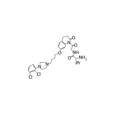 CC(C)C(N)C(=O)NCC(=O)N1C(=O)CCc2ccc(OCCCCN3CCN(c4cccc(Cl)c4Cl)CC3)cc21